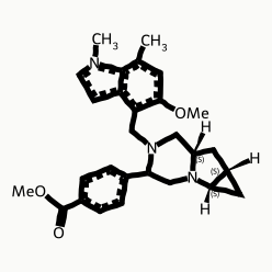 COC(=O)c1ccc(C2CN3[C@@H](C[C@@H]4C[C@@H]43)CN2Cc2c(OC)cc(C)c3c2ccn3C)cc1